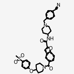 CS(=O)(=O)c1ccc(OC2CCN(C(=O)c3ccc4oc(C(=O)NC5CCN(Cc6ccc(C#N)cc6)CC5)cc4c3)CC2)cc1